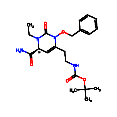 CCN1C(=O)N(OCc2ccccc2)C(CCNC(=O)OC(C)(C)C)=C[C@H]1C(N)=O